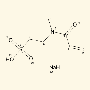 C=CC(=O)N(C)CCS(=O)(=O)O.[NaH]